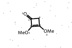 COC1=C(OC)C(=O)C1